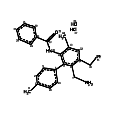 Cc1ccc(-c2c(CN)c(CC(C)C)nc(C)c2NC(=O)c2ccccc2)cc1.Cl.Cl